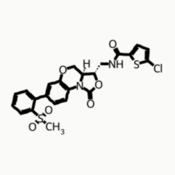 CS(=O)(=O)c1ccccc1-c1ccc2c(c1)OC[C@H]1[C@H](CNC(=O)c3ccc(Cl)s3)OC(=O)N21